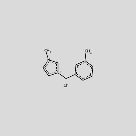 Cc1cccc(C[n+]2ccn(C)c2)c1.[Cl-]